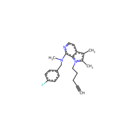 C#CCCCn1c(C)c(C)c2ccnc(N(C)Cc3ccc(F)cc3)c21